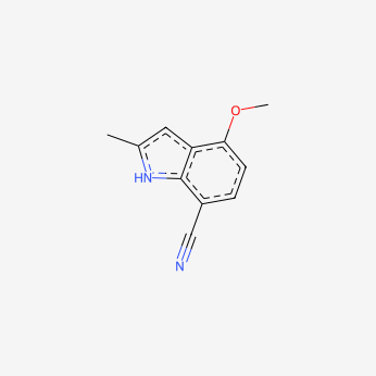 COc1ccc(C#N)c2[nH]c(C)cc12